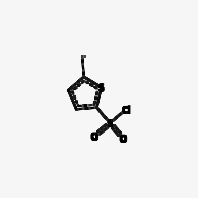 [CH2]c1ccc(S(=O)(=O)Cl)s1